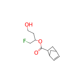 O=C(OC(CF)CCO)C1CC2C=CC1C2